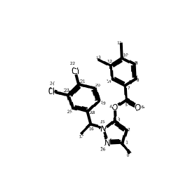 Cc1cc(OC(=O)c2ccc(C)c(C)c2)n(C(C)c2ccc(Cl)c(Cl)c2)n1